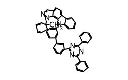 CC1(n2ncc3ccc4c5ccccc5n(-c5cccc(-c6cccc(-c7nc(-c8ccccc8)nc(-c8ccccc8)n7)c6)c5)c4c32)C=CC=CC1